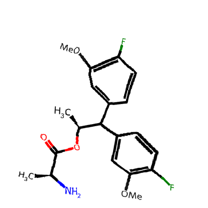 COc1cc(C(c2ccc(F)c(OC)c2)[C@H](C)OC(=O)[C@H](C)N)ccc1F